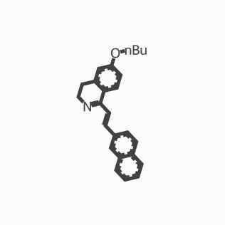 CCCCOc1ccc2c(c1)CCN=C2C=Cc1ccc2ccccc2c1